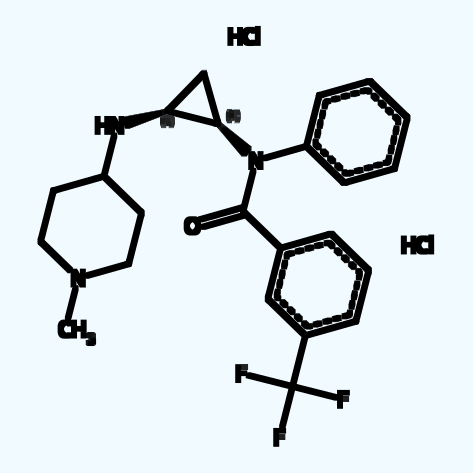 CN1CCC(N[C@H]2C[C@H]2N(C(=O)c2cccc(C(F)(F)F)c2)c2ccccc2)CC1.Cl.Cl